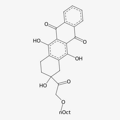 CCCCCCCCOCC(=O)C1(O)CCc2c(O)c3c(c(O)c2C1)C(=O)c1ccccc1C3=O